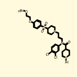 CCCCOCCOc1ccc(S(=O)(=O)C2CCN(CCCN(C(=O)C3CCN(C(C)=O)CC3)c3ccc(Cl)c(Cl)c3)CC2)cc1